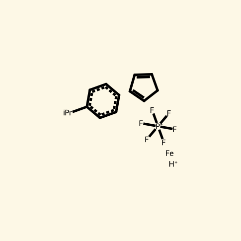 C1=CCC=C1.CC(C)c1ccccc1.F[P-](F)(F)(F)(F)F.[Fe].[H+]